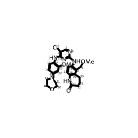 COCc1c(Nc2ncc(Cl)c(Nc3ccc(N4CCOCC4)cc3OC)n2)ccc2c1CCCC(=O)N2